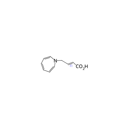 O=C(O)/C=C/CN1C=CC=CC=C1